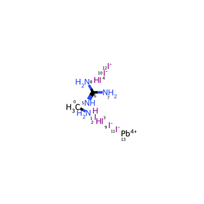 CN.I.I.I.N=C(N)N.[I-].[I-].[I-].[I-].[Pb+4]